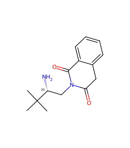 CC(C)(C)[C@H](N)CN1C(=O)Cc2ccccc2C1=O